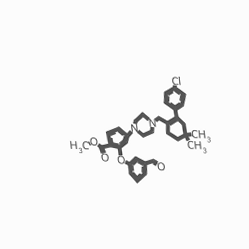 COC(=O)c1ccc(N2CCN(CC3=C(c4ccc(Cl)cc4)CC(C)(C)CC3)CC2)cc1Oc1cccc(C=O)c1